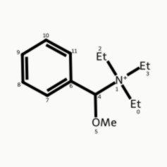 CC[N+](CC)(CC)C(OC)c1ccccc1